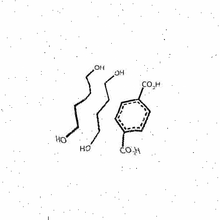 O=C(O)c1ccc(C(=O)O)cc1.OCCCCO.OCCCCO